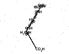 C[C@H](CCC(=O)NCCOCCOCC(=O)NCCOCCOCC(=O)NCCCC[C@H](NC(C)(C)C)C(=O)C(C)(C)C)NC(=O)CCCCCCCCCCCCCCCCC(=O)O